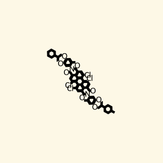 Cc1cc2c(cc1N1C(=O)c3cc(Cl)c4c5c(Cl)cc6c7c(cc(Cl)c(c8c(Cl)cc(c3c48)C1=O)c75)C(=O)N(c1cc3c(cc1C)OCC(C1CCC(C)CC1)CO3)C6=O)OCC(C1CCCCC1)CO2